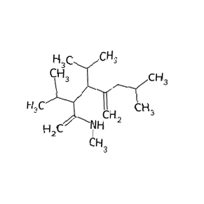 C=C(CC(C)C)C(C(C)C)C(C(=C)NC)C(C)C